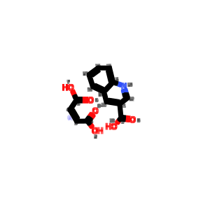 O=C(O)/C=C\C(=O)O.O=C(O)c1cnc2ccccc2c1